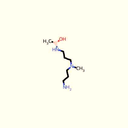 CB(O)NCCCN(C)CCCN